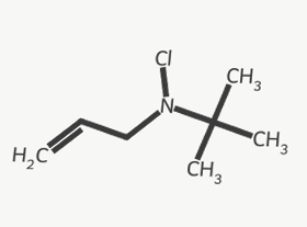 C=CCN(Cl)C(C)(C)C